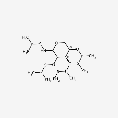 CP(P)SNC1OC[C@@H](OP(C)SP)[C@@H](OP(C)SP)C1OSP(C)P